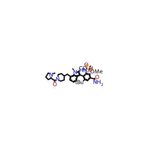 COc1c(C(N)=O)cc(C(C)(C)C)c(-c2c(C(=O)O)n(C)c3c(CC4CCN(C(=O)C5CCCN5C)CC4)cccc23)c1NS(C)(=O)=O